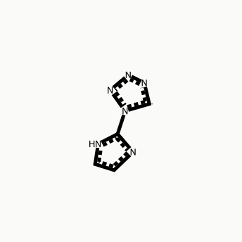 [c]1nnnn1-c1ncc[nH]1